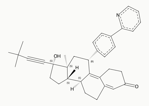 CC(C)(C)C#C[C@]1(O)CC[C@H]2[C@@H]3CCC4=CC(=O)CCC4=C3[C@@H](c3ccc(-c4ccccn4)cc3)C[C@@]21C